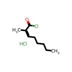 CCCCC/C=C(/C)C(=O)Cl.Cl